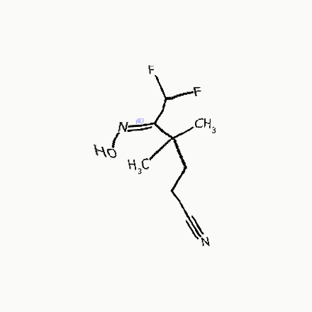 CC(C)(CCC#N)/C(=N\O)C(F)F